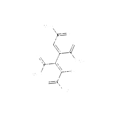 COC(=O)C=C(C(=O)OC)C(C(=O)OC)=[C]([Pd])C(=O)OC